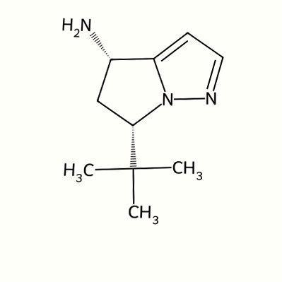 CC(C)(C)[C@@H]1C[C@H](N)c2ccnn21